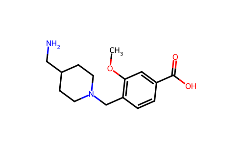 COc1cc(C(=O)O)ccc1CN1CCC(CN)CC1